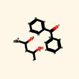 CCCCC([O])CC(C)O.O=C(c1ccccc1)c1ccccc1